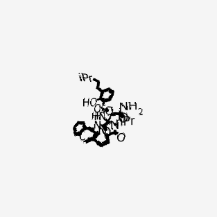 CCCN(C(=O)c1ccc2ccccc2n1)[C@@](CC(N)=O)(NS(=O)(=O)c1cccc(CCC(C)C)c1O)C(=O)NCc1ccccc1